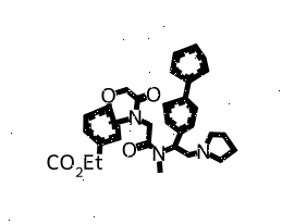 CCOC(=O)c1ccc2c(c1)N(CC(=O)N(C)C(CN1CCCC1)c1ccc(-c3ccccc3)cc1)C(=O)CO2